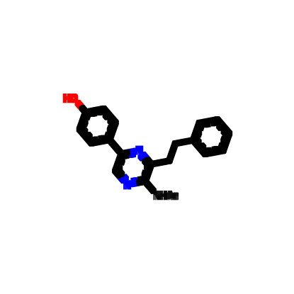 CC(=O)Nc1ncc(-c2ccc(O)cc2)nc1CCc1ccccc1